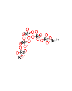 [K+].[O]=[Re](=[O])(=[O])[O-].[O]=[Re](=[O])(=[O])[O-].[O]=[Re](=[O])(=[O])[O-].[O]=[Re](=[O])(=[O])[O-].[O]=[Re](=[O])(=[O])[O-].[Re+4]